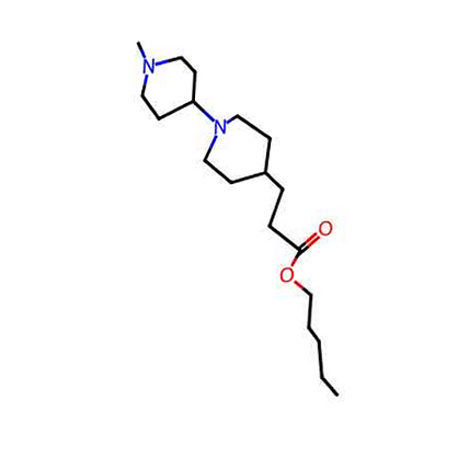 CCCCCOC(=O)CCC1CCN(C2CCN(C)CC2)CC1